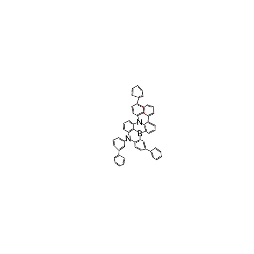 c1ccc(-c2ccc(N3c4cccc5c4B(c4cc(-c6ccccc6)ccc4N5c4cccc(-c5ccccc5)c4)c4cccc(-c5ccccc5)c43)cc2)cc1